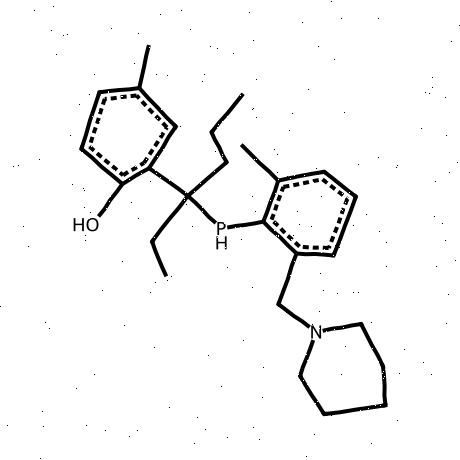 CCCC(CC)(Pc1c(C)cccc1CN1CCCCC1)c1cc(C)ccc1O